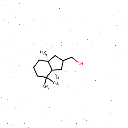 CC1(C)CCC[C@@]2(C)CC(CO)C[C@@H]12